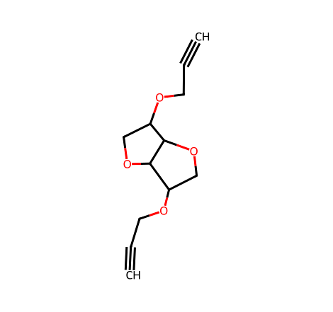 C#CCOC1COC2C(OCC#C)COC12